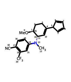 CO[C@H]1CCC(C2C=CC=C2)=C[C@@H]1N(C)c1ccc(C#N)c(C(F)(F)F)c1